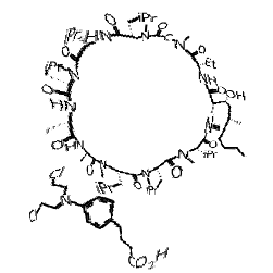 C/C=C/C[C@@H](C)[C@@H](O)[C@H]1C(=O)N[C@@H](CC)C(=O)N(C)CC(=O)N(C)[C@@H](CC(C)C)C(=O)N[C@@H](C(C)C)C(=O)N(C)[C@@H](CC(C)C)C(=O)N[C@@H](C)C(=O)N[C@H](C)C(=O)N(C)[C@@H](CC(C)C)C(=O)N(C)[C@@H](CC(C)C)C(=O)N(C)[C@@H](C(C)C)C(=O)N1C.O=C(O)CCCc1ccc(N(CCCl)CCCl)cc1